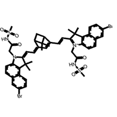 CC1(C)C(/C=C/C2=CC(=C/C=C3/N(CC(=O)NS(C)(=O)=O)c4ccc5cc(Br)ccc5c4C3(C)C)/C3CC2C3(C)C)=[N+](CC(=O)NS(C)(=O)=O)c2ccc3cc(Br)ccc3c21